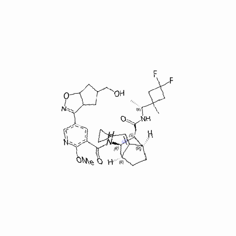 COc1ncc(C2=NOC3CC(CO)CC23)cc1C(=O)N[C@H]1[C@@H](C(=O)N[C@H](C)C2(C)CC(F)(F)C2)[C@H]2CC[C@@H]1/C2=C\C1CC1